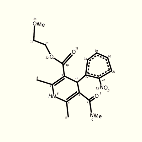 CNC(=O)C1=C(C)NC(C)=C(C(=O)OCCOC)C1c1ccccc1[N+](=O)[O-]